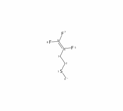 [CH2]SCCC(F)=C(F)F